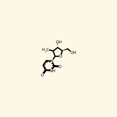 CC1C(n2ccc(=O)[nH]c2=O)O[C@H](CO)[C@H]1O